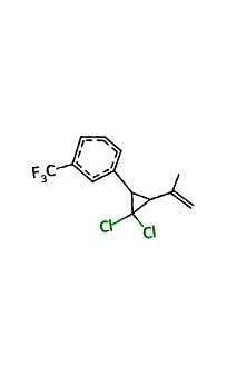 C=C(C)C1C(c2cccc(C(F)(F)F)c2)C1(Cl)Cl